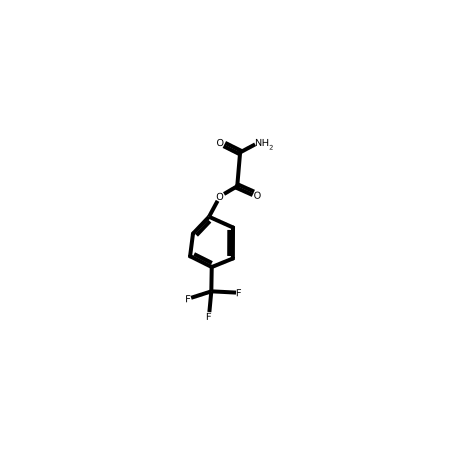 NC(=O)C(=O)Oc1ccc(C(F)(F)F)cc1